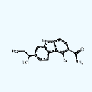 NC(=O)c1ccc2[nH]c3cc(C(O)CO)ccc3c2c1Br